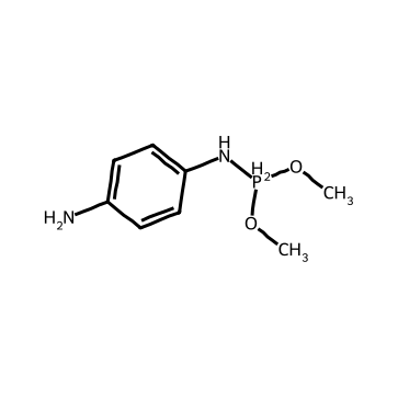 CO[PH2](Nc1ccc(N)cc1)OC